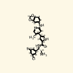 Cc1cnc(Nc2ccc3c(c2)OCO3)cc1-c1c[nH]c(C(=O)N[C@H](CN)c2cc(F)cc(Cl)c2)c1